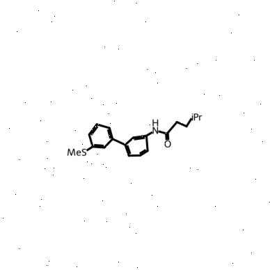 CSc1cccc(-c2cccc(NC(=O)CCC(C)C)c2)c1